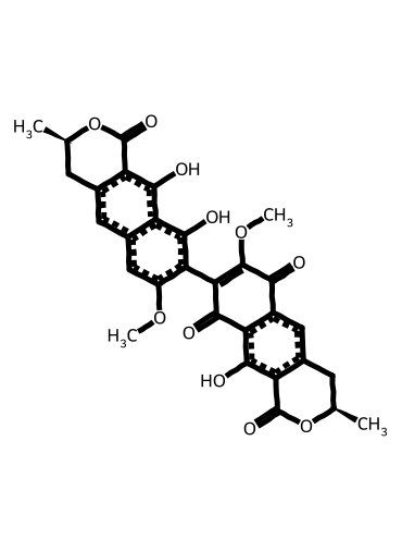 COC1=C(c2c(OC)cc3cc4c(c(O)c3c2O)C(=O)O[C@H](C)C4)C(=O)c2c(cc3c(c2O)C(=O)O[C@H](C)C3)C1=O